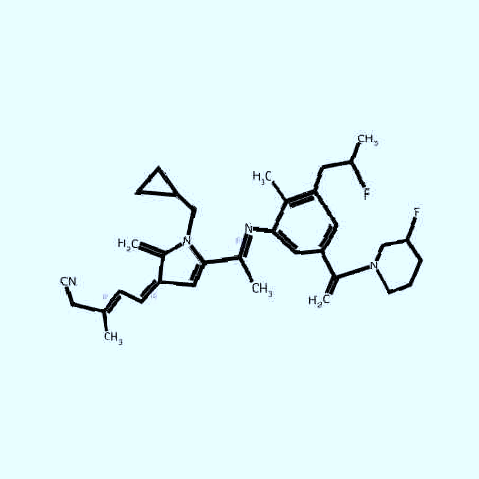 C=C(c1cc(CC(C)F)c(C)c(/N=C(\C)c2c/c(=C/C=C(\C)CC#N)c(=C)n2CC2CC2)c1)N1CCCC(F)C1